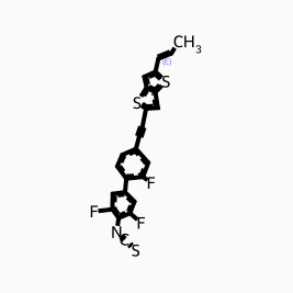 C/C=C/c1cc2sc(C#Cc3ccc(-c4cc(F)c(N=C=S)c(F)c4)c(F)c3)cc2s1